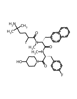 CN(C(=O)C(I)CCC(C)(C)N)[C@H](Cc1ccc2ccccc2c1)C(=O)N(C)[C@H](Cc1ccc(F)cc1)C(=O)N1CCC(O)CC1